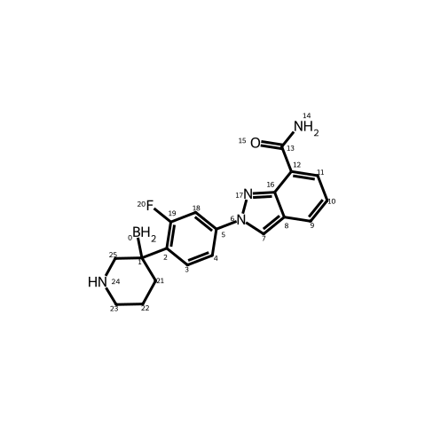 BC1(c2ccc(-n3cc4cccc(C(N)=O)c4n3)cc2F)CCCNC1